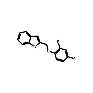 Fc1ccc(OCc2cc3ccccc3o2)c(F)c1